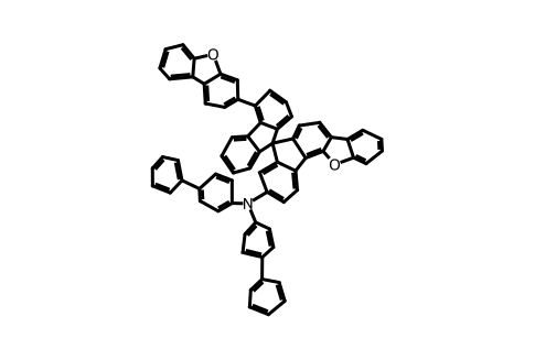 c1ccc(-c2ccc(N(c3ccc(-c4ccccc4)cc3)c3ccc4c(c3)C3(c5ccccc5-c5c(-c6ccc7c(c6)oc6ccccc67)cccc53)c3ccc5c(oc6ccccc65)c3-4)cc2)cc1